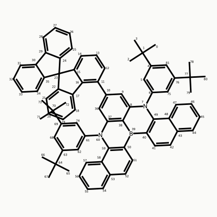 CC(C)(C)c1cc(N2c3cc(-c4cccc5c4-c4ccccc4C54c5ccccc5-c5ccccc54)cc4c3B(c3ccc5ccccc5c32)c2ccc3ccccc3c2N4c2cc(C(C)(C)C)cc(C(C)(C)C)c2)cc(C(C)(C)C)c1